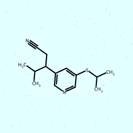 CC(C)Sc1cncc(C(CC#N)C(C)C)c1